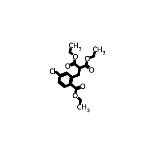 CCOC(=O)c1ccc(Cl)cc1CC(C(=O)OCC)C(=O)OCC